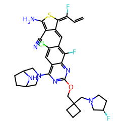 C=C/C(F)=c1/sc(N)c(C#N)/c1=C\c1c(Cl)cc2c(N3CC4CCC(C3)N4)nc(OCC3(CN4CC[C@@H](F)C4)CCC3)nc2c1F